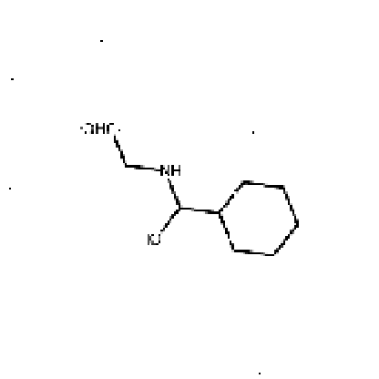 O=[C]CNC(O)C1CCCCC1